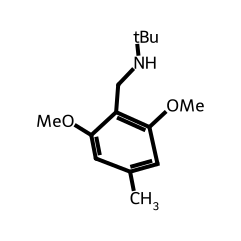 COc1cc(C)cc(OC)c1CNC(C)(C)C